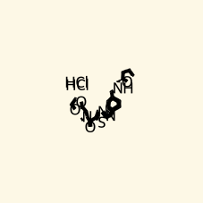 CN(CC1OCCO1)C(=O)c1cn2c(nc3ccc(CNC[C@H]4CCCO4)cc32)s1.Cl.Cl